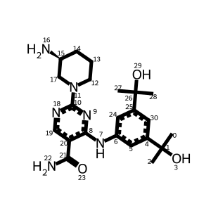 CC(C)(O)c1cc(Nc2nc(N3CCC[C@H](N)C3)ncc2C(N)=O)cc(C(C)(C)O)c1